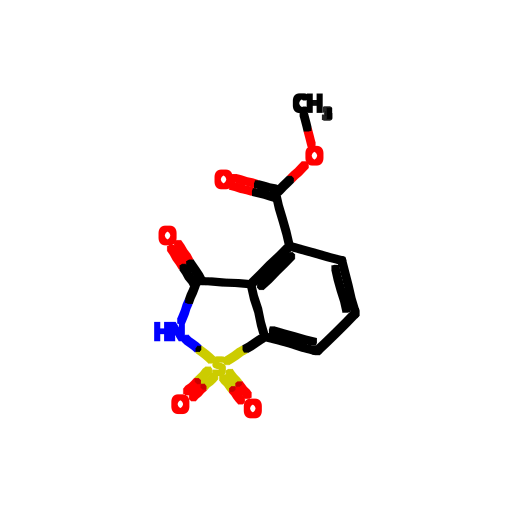 COC(=O)c1cccc2c1C(=O)NS2(=O)=O